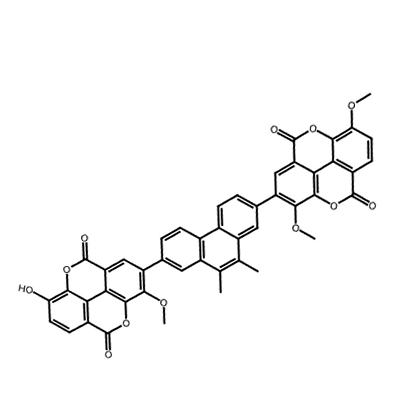 COc1ccc2c(=O)oc3c(OC)c(-c4ccc5c(c4)c(C)c(C)c4cc(-c6cc7c(=O)oc8c(O)ccc9c(=O)oc(c6OC)c7c89)ccc45)cc4c(=O)oc1c2c34